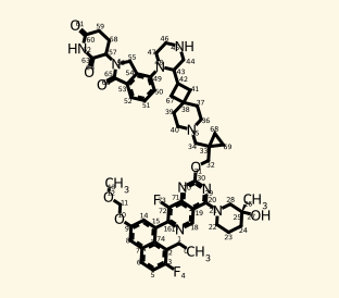 CCc1c(F)ccc2cc(OCOC)cc(-c3ncc4c(N5CCC[C@@](C)(O)C5)nc(OCC5(CN6CCC7(CC6)CC(C6CNCCN6c6cccc8c6CN(C6CCC(=O)NC6=O)C8=O)C7)CC5)nc4c3F)c12